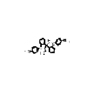 CCCC(C)(c1ccccc1Oc1ccc(N)cc1)c1ccccc1Oc1ccc(N)cc1